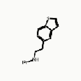 CC(C)NCCc1ccc2sccc2c1